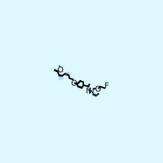 C=C(/C=C\C=C/CCOC1=CCC(/C(C)=N/N(/C=C\C)COCCF)C=C1)OC